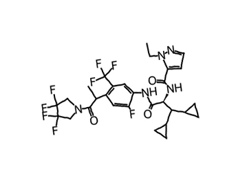 CCn1nccc1C(=O)N[C@H](C(=O)Nc1cc(C(F)(F)F)c(C(C)C(=O)N2CC(F)(F)C(F)(F)C2)cc1F)C(C1CC1)C1CC1